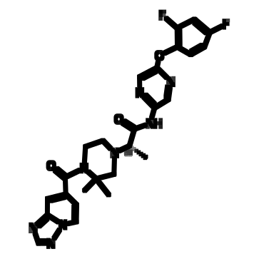 C[C@@H](C(=O)Nc1cnc(Oc2ccc(F)cc2F)cn1)N1CCN(C(=O)c2ccn3ncnc3c2)C(C)(C)C1